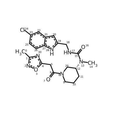 Cc1noc(CC(=O)N2CCC[C@@H](N(C)C(=O)NCc3cc4cc(Cl)ccc4[nH]3)C2)n1